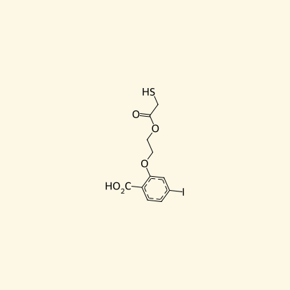 O=C(CS)OCCOc1cc(I)ccc1C(=O)O